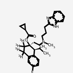 [2H]C1([2H])c2cc(F)ccc2[C@H](C(C)C)[C@](CCN(C)CCCc2nc3ccccc3[nH]2)(OC(=O)C2CC2)C1([2H])[2H]